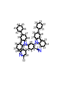 Cc1cc(-c2cc(C#N)c(-n3c4ccccc4c4cc(-c5ccccc5)ccc43)cc2-n2c3ccccc3c3cc(-c4ccccc4)ccc32)cc(C)n1